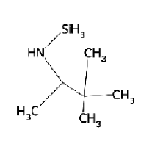 CC(N[SiH3])C(C)(C)C